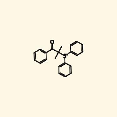 CC(C)(C(=O)c1ccccc1)[S+](c1ccccc1)c1ccccc1